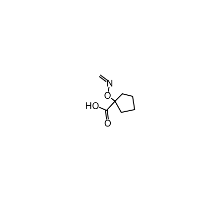 C=NOC1(C(=O)O)CCCC1